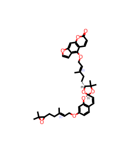 C/C(=C\COc1ccc2c(c1)O[C@]1(C=C2)O[C@H](CC/C(C)=C/COc2c3ccoc3cc3oc(=O)ccc23)C(C)(C)O1)CCC1OC1(C)C